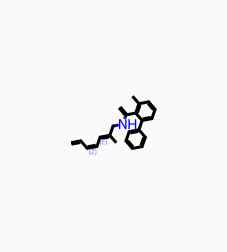 C=C/C=C\C=C(/C)CNC(=C)c1c(C)cccc1-c1ccccc1